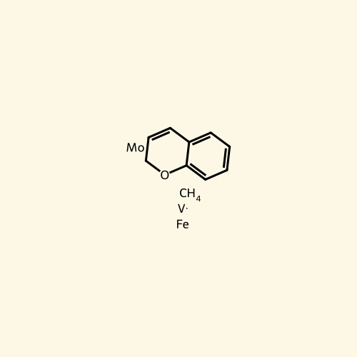 C.C1=Cc2ccccc2OC1.[Fe].[Mo].[V]